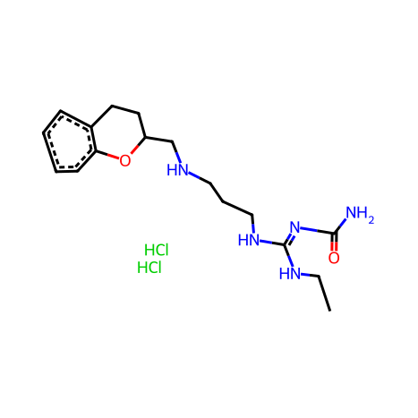 CCNC(=NC(N)=O)NCCCNCC1CCc2ccccc2O1.Cl.Cl